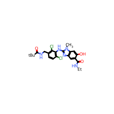 CCNC(=O)c1cc2nc(Nc3c(Cl)ccc(CNC(=O)C(C)(C)C)c3Cl)n(C)c2cc1O